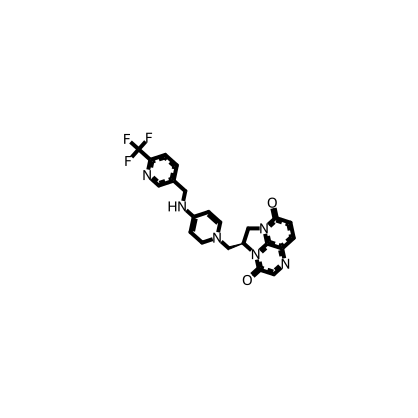 O=c1ccc2ncc(=O)n3c2n1C[C@@H]3CN1C=CC(NCc2ccc(C(F)(F)F)nc2)=CC1